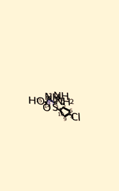 NN/C(Sc1ccc(Cl)cc1)=C(\N)C(=O)O